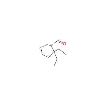 CCC1(CC)CCCCC1C=O